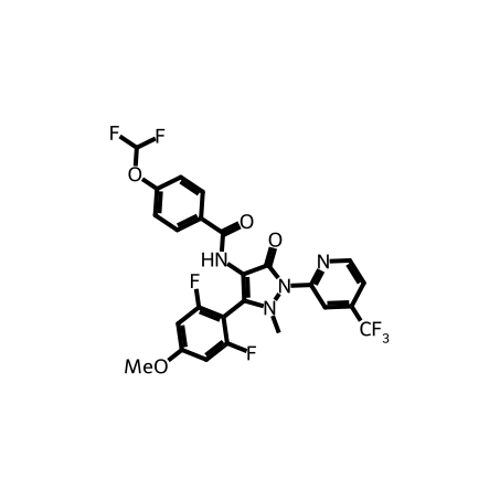 COc1cc(F)c(-c2c(NC(=O)c3ccc(OC(F)F)cc3)c(=O)n(-c3cc(C(F)(F)F)ccn3)n2C)c(F)c1